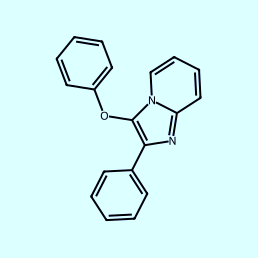 c1ccc(Oc2c(-c3ccccc3)nc3ccccn23)cc1